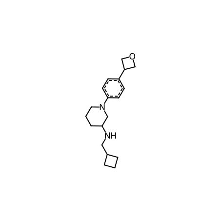 c1cc(N2CCCC(NCC3CCC3)C2)ccc1C1COC1